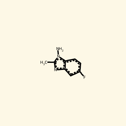 Cc1nc2cc(F)ccc2n1N